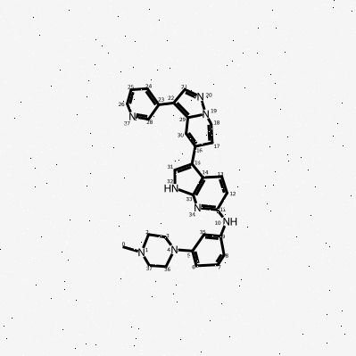 CN1CCN(c2cccc(Nc3ccc4c(-c5ccn6ncc(-c7cccnc7)c6c5)c[nH]c4n3)c2)CC1